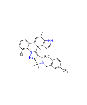 CCc1cccc2c1-n1nc3c(c1C1(C)C2=CC(C)c2[nH]ccc21)CN(Cc1cc(C(F)(F)F)ccc1C(F)(F)F)C3(C)C